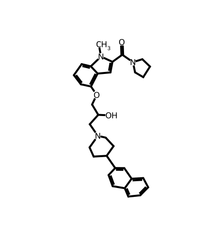 Cn1c(C(=O)N2CCCC2)cc2c(OCC(O)CN3CCC(c4ccc5ccccc5c4)CC3)cccc21